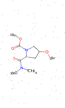 CON(C)C(=O)C1CC(OC(C)(C)C)CN1C(=O)OC(C)(C)C